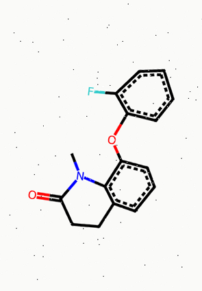 CN1C(=O)CCc2cccc(Oc3ccccc3F)c21